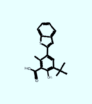 Cc1c(-c2cc3ccccc3s2)cc(C(C)(C)C)c(O)c1C(=O)O